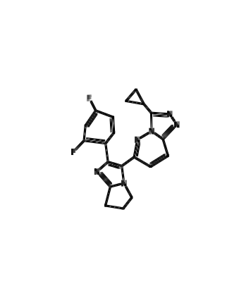 Fc1ccc(-c2nc3n(c2-c2ccc4nnc(C5CC5)n4n2)CCC3)c(F)c1